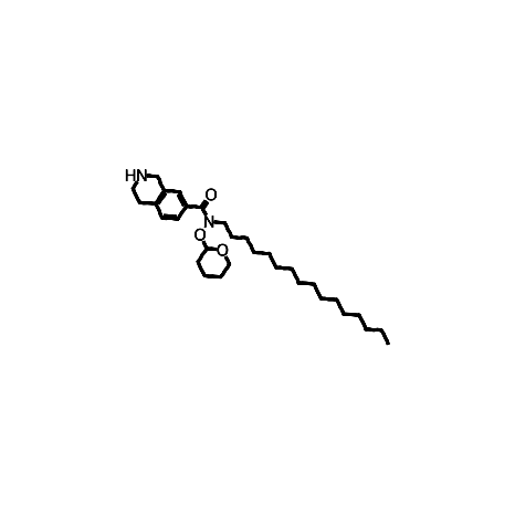 CCCCCCCCCCCCCCCCN(OC1CCCCO1)C(=O)c1ccc2c(c1)CNCC2